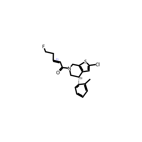 Cc1ccccc1[C@@H]1CN(C(=O)/C=C/CCF)Cc2sc(Cl)cc21